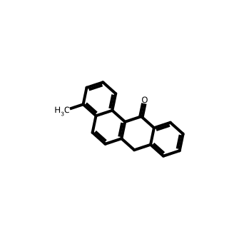 Cc1cccc2c3c(ccc12)Cc1ccccc1C3=O